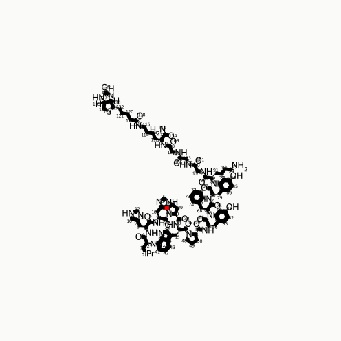 CC(C)C[C@H](N)C(=O)N[C@@H](Cc1c[nH]cn1)C(=O)N[C@@H](Cc1c[nH]cn1)C(=O)N1CCC[C@H]1C(=O)N[C@@H](Cc1c[nH]c2ccccc12)C(=O)N1CCC[C@H]1C(=O)N[C@@H](Cc1ccc(O)cc1)C(=O)N[C@@H](Cc1ccccc1)C(=O)N[C@@H](Cc1ccc(O)cc1)C(=O)N[C@@H](CCCCN)C(=O)NCC(=O)NCC(=O)NCC(=O)N[C@@H](CCCCNC(=O)CCCC[C@@H]1SC[C@@H]2NC(=O)N[C@@H]21)C(N)=O